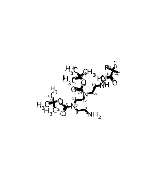 CC(C)(C)OC(=O)N(CCN)CCN(CCNNC(=O)C(F)(F)F)C(=O)OC(C)(C)C